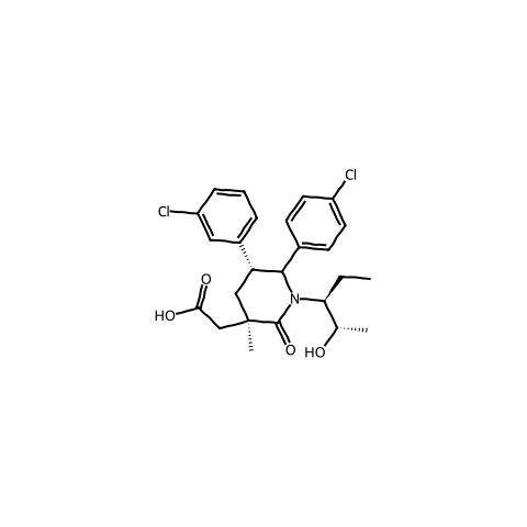 CC[C@@H]([C@H](C)O)N1C(=O)[C@@](C)(CC(=O)O)C[C@H](c2cccc(Cl)c2)C1c1ccc(Cl)cc1